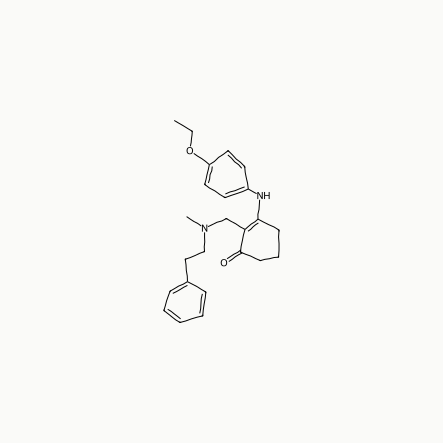 CCOc1ccc(NC2=C(CN(C)CCc3ccccc3)C(=O)CCC2)cc1